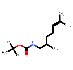 CCC(C)(C)OC(=O)NCC(C)CCC=C(C)C